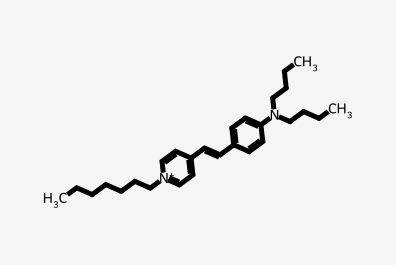 CCCCCCC[n+]1ccc(/C=C/c2ccc(N(CCCC)CCCC)cc2)cc1